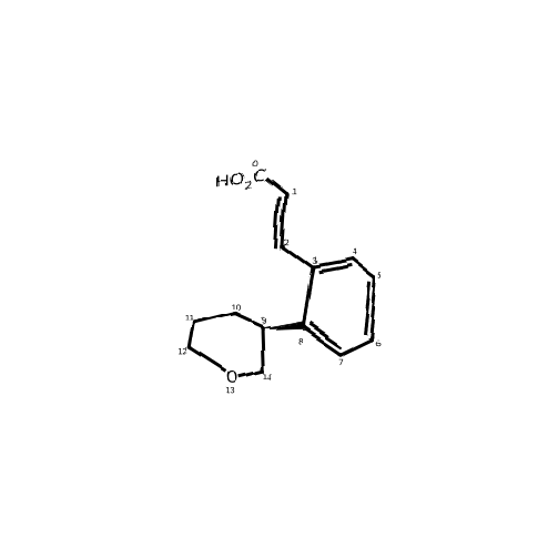 O=C(O)C=Cc1ccccc1[C@@H]1CCCOC1